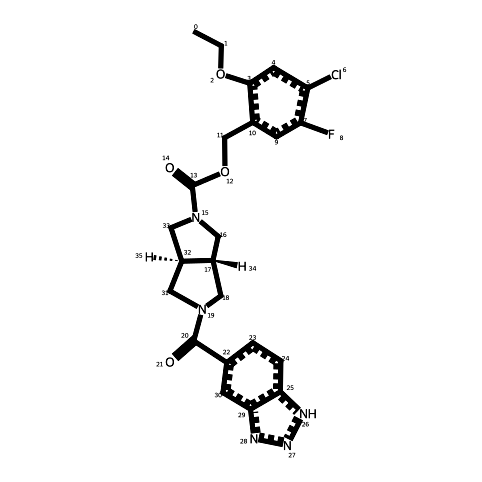 CCOc1cc(Cl)c(F)cc1COC(=O)N1C[C@@H]2CN(C(=O)c3ccc4[nH]nnc4c3)C[C@H]2C1